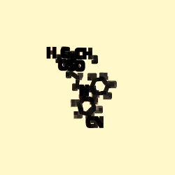 CN(C)S(=O)(=O)CCCn1c2c(c3cc(C#N)ccc31)CCCC2